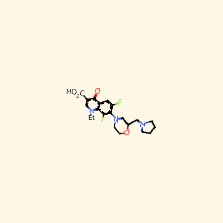 CCn1cc(C(=O)O)c(=O)c2cc(F)c(N3CCOC(CN4CCCC4)C3)c(F)c21